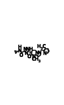 Cc1cccnc1CN1CC=C2N(C)C(=O)[C@H](c3nc(C(=O)NC4CC4)n[nH]3)CCN21